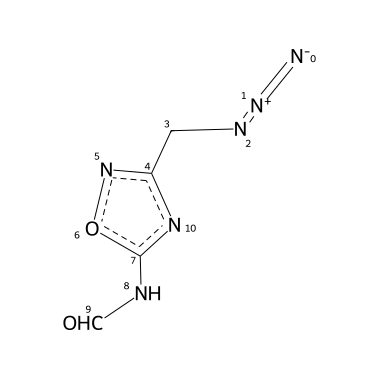 [N-]=[N+]=NCc1noc(NC=O)n1